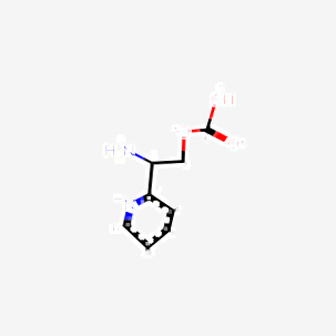 NC(COC(=O)O)c1ccccn1